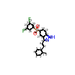 Cc1ccccc1/C=C/c1n[nH]c2ccc(S(=O)(=O)c3cc(F)cc(F)c3)cc12